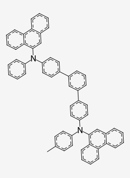 Cc1ccc(N(c2ccc(-c3cccc(-c4ccc(N(c5ccccc5)c5cc6ccccc6c6ccccc56)cc4)c3)cc2)c2cc3ccccc3c3ccccc23)cc1